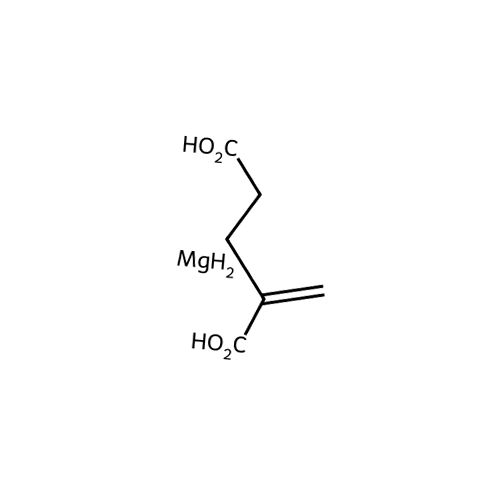 C=C(CCC(=O)O)C(=O)O.[MgH2]